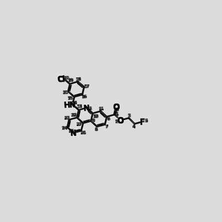 O=C(OCCF)c1ccc2c(c1)nc(Nc1cccc(Cl)c1)c1ccncc12